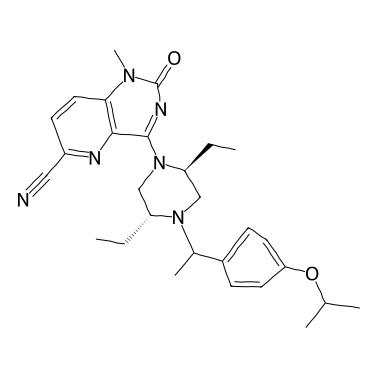 CC[C@H]1CN(C(C)c2ccc(OC(C)C)cc2)[C@H](CC)CN1c1nc(=O)n(C)c2ccc(C#N)nc12